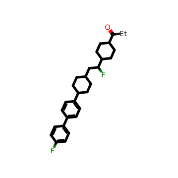 CCC(=O)C1CCC(C(F)CC2CCC(c3ccc(-c4ccc(F)cc4)cc3)CC2)CC1